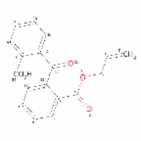 C=CCOC(=O)c1ccccc1C(=O)c1ccccc1C(=O)O